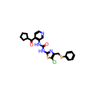 O=C(Nc1nc(CSc2ccccc2)c(Cl)s1)Nc1cnccc1C(=O)C1CCCC1